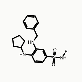 CCNS(=O)(=O)c1ccc(NC2CCCC2)c(NCc2ccccc2)c1